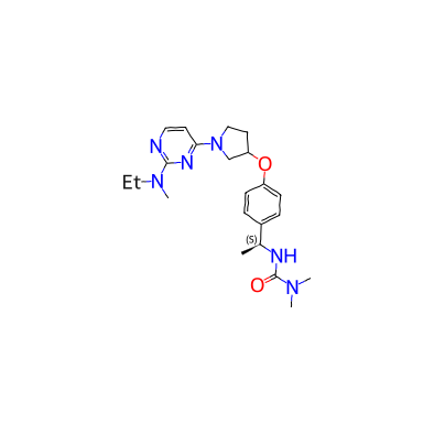 CCN(C)c1nccc(N2CCC(Oc3ccc([C@H](C)NC(=O)N(C)C)cc3)C2)n1